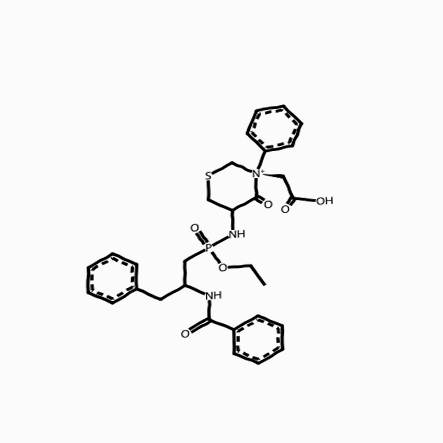 CCOP(=O)(CC(Cc1ccccc1)NC(=O)c1ccccc1)NC1CSC[N@+](CC(=O)O)(c2ccccc2)C1=O